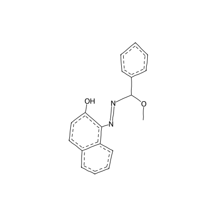 COC(N=Nc1c(O)ccc2ccccc12)c1ccccc1